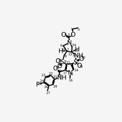 CCOC(=O)N1C[C@H]2CS(=O)(=O)c3c(cn(C)c3C(=O)Nc3ccc(F)c(C)c3)S(=O)(=O)N[C@H]2C1